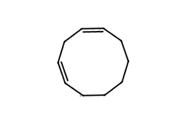 [CH]1/C=C\C/C=C\CCCC1